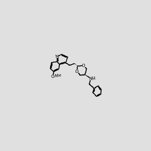 COc1ccc2nccc(CC[C@H]3OC[C@H](NCc4ccccc4)CO3)c2c1